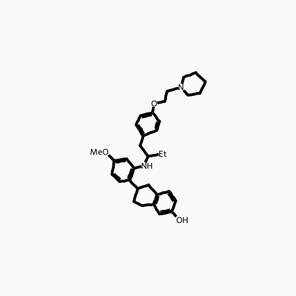 CCC(Cc1ccc(OCCN2CCCCC2)cc1)Nc1cc(OC)ccc1C1CCc2cc(O)ccc2C1